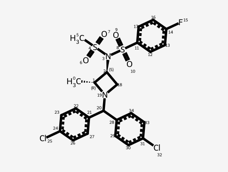 C[C@@H]1[C@@H](N(S(C)(=O)=O)S(=O)(=O)c2ccc(F)cc2)CN1C(c1ccc(Cl)cc1)c1ccc(Cl)cc1